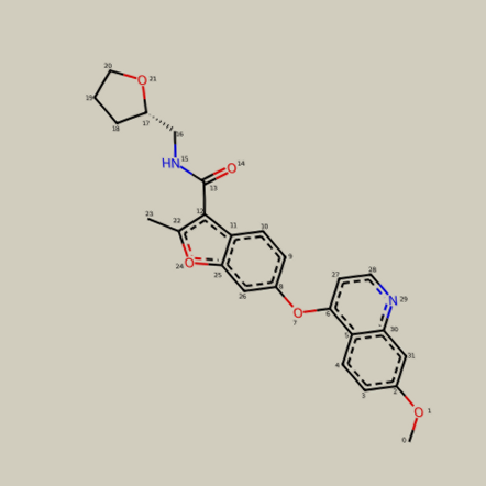 COc1ccc2c(Oc3ccc4c(C(=O)NC[C@@H]5CCCO5)c(C)oc4c3)ccnc2c1